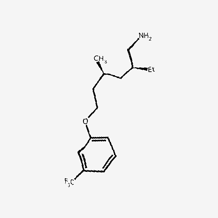 CC[C@H](CN)C[C@H](C)CCOc1cccc(C(F)(F)F)c1